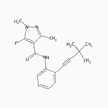 Cc1nn(C)c(F)c1C(=O)Nc1ccccc1C#CC(C)(C)C